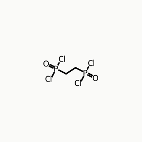 O=P(Cl)(Cl)CCP(=O)(Cl)Cl